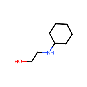 OCCNC1CCCCC1